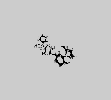 Cc1cc(C)n(-c2cc(C(=O)N[C@H](Cc3ccccc3)[C@@H](O)C(=O)O)ccc2C)n1